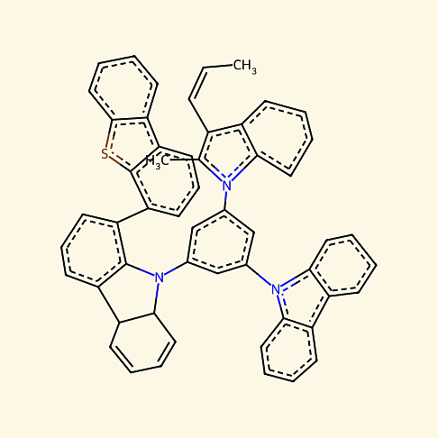 C/C=C\c1c(C)n(-c2cc(N3c4c(-c5cccc6c5sc5ccccc56)cccc4C4C=CC=CC43)cc(-n3c4ccccc4c4ccccc43)c2)c2ccccc12